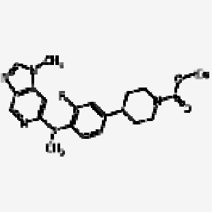 CN(c1cc2c(cn1)ncn2C)c1ccc(C2CCN(C(=O)OC(C)(C)C)CC2)cc1F